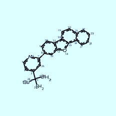 BC(B)(c1ccnc(-c2ccc3c(c2)oc2c4ccccc4ccc32)c1)C(C)(C)C